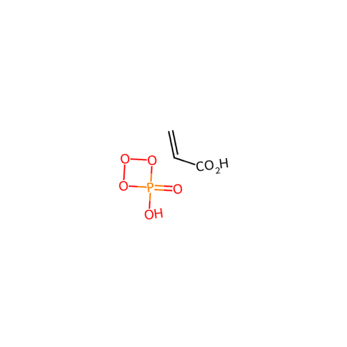 C=CC(=O)O.O=P1(O)OOO1